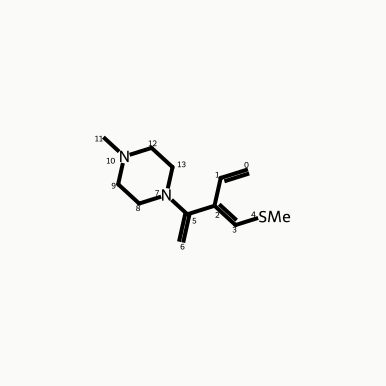 C=C/C(=C\SC)C(=C)N1CCN(C)CC1